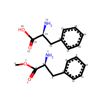 COC(=O)[C@@H](N)Cc1ccccc1.N[C@@H](Cc1ccccc1)C(=O)O